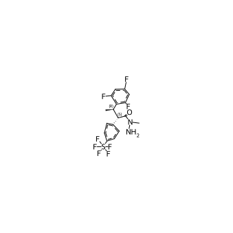 C[C@@H](c1c(F)cc(F)cc1F)[C@H](C(=O)N(C)N)c1ccc(S(F)(F)(F)(F)F)cc1